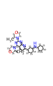 C[C@H]1COCCN1c1nc(N2CCOC[C@@H]2C)c2ccc(-c3cccc(Nc4ccccc4)c3)nc2n1